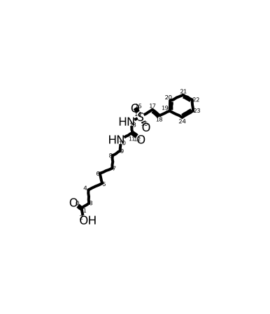 O=C(O)CCCCCCCNC(=O)NS(=O)(=O)/C=C/c1ccccc1